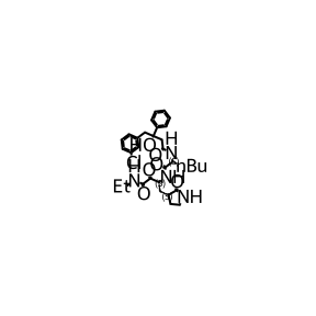 CCCC[C@H](NC(=O)CC(O)(Cc1cccc(Cl)c1)c1ccccc1)C(=O)N[C@@H](C[C@@H]1CCNC1=O)C(=O)C(=O)NCC